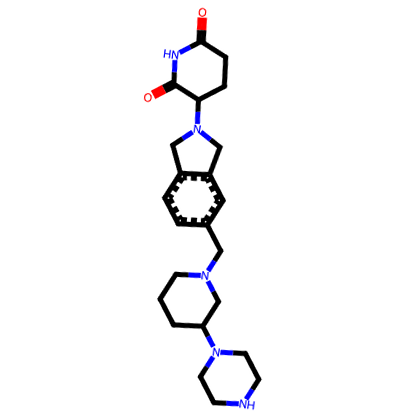 O=C1CCC(N2Cc3ccc(CN4CCCC(N5CCNCC5)C4)cc3C2)C(=O)N1